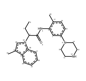 CCC(C(=O)Nc1cc(N2CCNCC2)ccc1C)n1cc(C)c2ccccc21